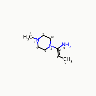 C/C=C(\N)N1CCN(C)CC1